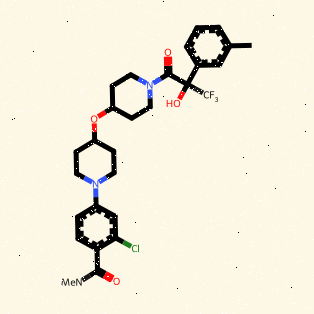 CNC(=O)c1ccc(N2CCC(OC3CCN(C(=O)C(O)(c4cccc(C)c4)C(F)(F)F)CC3)CC2)cc1Cl